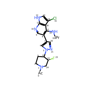 CC(=O)N1CCC(n2cc(-c3cnc4[nH]cc(Cl)c4c3NC(C)C)cn2)[C@@H](F)C1